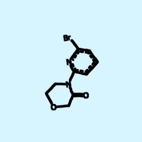 O=C1COCCN1c1cccc(Br)n1